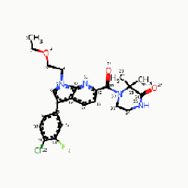 CCOCCn1cc(-c2ccc(Cl)c(F)c2)c2ccc(C(=O)N3CCNC(=O)C3(C)C)nc21